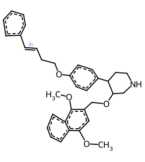 COc1cc(COC2CNCCC2c2ccc(OCC/C=C/c3ccccc3)cc2)c(OC)c2ccccc12